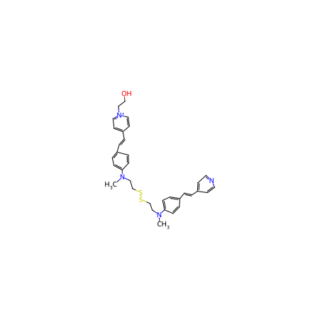 CN(CCSSCCN(C)c1ccc(/C=C/c2cc[n+](CCO)cc2)cc1)c1ccc(/C=C/c2ccncc2)cc1